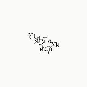 CCCc1nc(-n2ncc3c(C)nc(-c4cnccc4OC)cc32)cc2c1nc(C1CCN(C)CC1)n2C